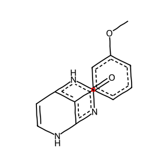 COc1cccc(-c2c3nc(=O)[nH]c2C=CN3)c1